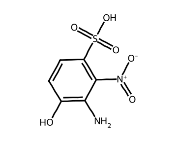 Nc1c(O)ccc(S(=O)(=O)O)c1[N+](=O)[O-]